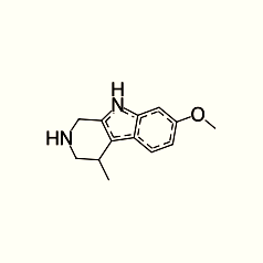 COc1ccc2c3c([nH]c2c1)CNCC3C